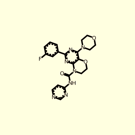 O=C(Nc1ccncn1)N1CCOc2c(N3CCOCC3)nc(-c3cccc(F)c3)nc21